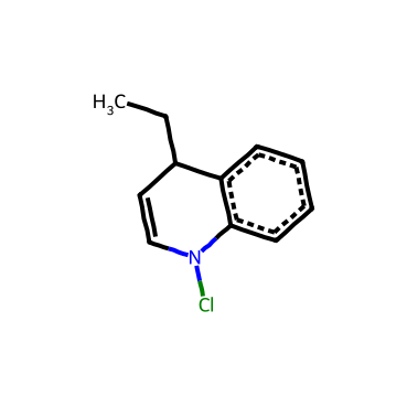 CCC1C=CN(Cl)c2ccccc21